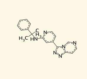 CC(C)(Nc1cc(-c2nnc3ccncn23)ccn1)c1ccccc1